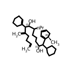 C=CCCC(=C)C(C1=CCCCC1)[C@@H](O)C(CCC)CCC[C@H](O)C(C1=CC=CC[C@H]1C)C1CCCCC1